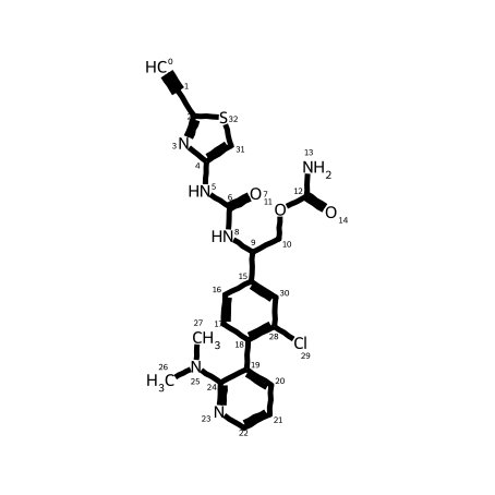 C#Cc1nc(NC(=O)NC(COC(N)=O)c2ccc(-c3cccnc3N(C)C)c(Cl)c2)cs1